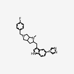 CN1C(Cc2c[nH]c3ccc(-n4cnnc4)cc23)CC2CN(Cc3ccc(F)cc3)CC21